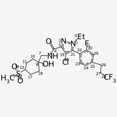 CCn1nc(C(=O)NCC2(O)CCC(S(C)(=O)=O)CC2)c(Cl)c1-c1ccc(CCC(F)(F)F)cc1F